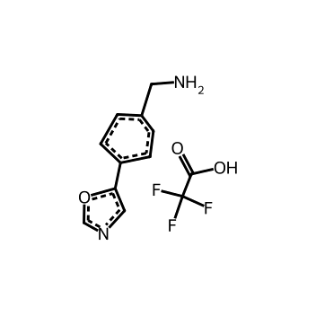 NCc1ccc(-c2cnco2)cc1.O=C(O)C(F)(F)F